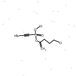 C=C(CCCCl)OP(=O)(C#CCCCC)OCC